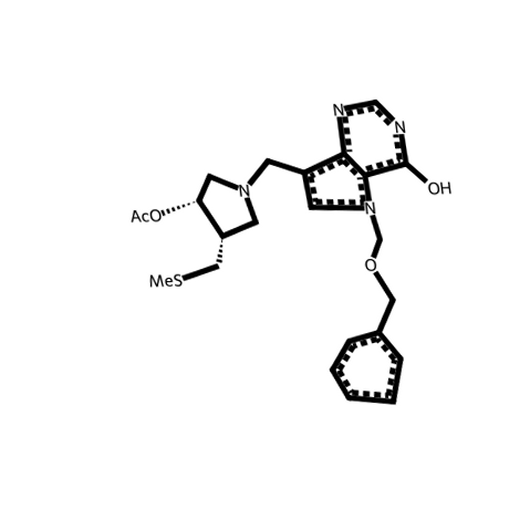 CSC[C@H]1CN(Cc2cn(COCc3ccccc3)c3c(O)ncnc23)C[C@H]1OC(C)=O